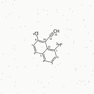 [2H]c1cccc2ccc(Cl)c(C#C)c12